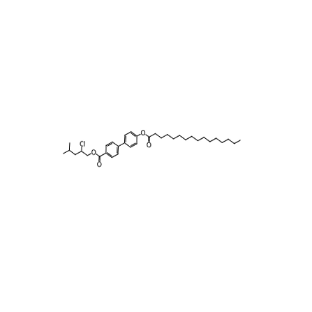 CCCCCCCCCCCCCCCC(=O)Oc1ccc(-c2ccc(C(=O)OCC(Cl)CC(C)C)cc2)cc1